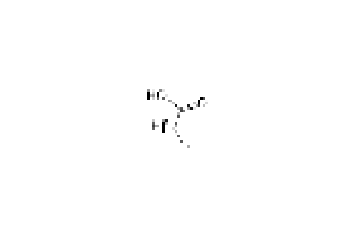 [CH2]CC(=O)O.[Hf]